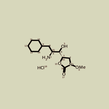 CON1C[C@@H](C(O)[C@@H](N)CC2CCCCC2)OC1=O.Cl